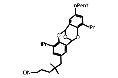 CCCCCc1cc(C(C)C)c2c(c1)C1Oc3c(C(C)C)cc(CC(C)(C)CCCN=O)cc3C(O2)O1